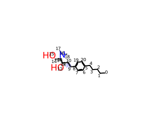 CCCCCc1ccc(/C=C/[C@H](O)[C@@H](CO)N(C)C)cc1